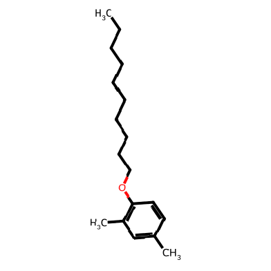 CCCCCCCCCCOc1ccc(C)cc1C